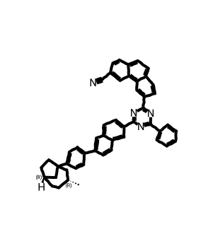 C[C@@H]1CC[C@@H]2CCC(c3ccc(-c4ccc5cc(-c6nc(-c7ccccc7)nc(-c7ccc8ccc9ccc(C#N)cc9c8c7)n6)ccc5c4)cc3)(C1)C2